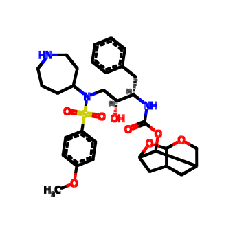 COc1ccc(S(=O)(=O)N(C[C@@H](O)[C@H](Cc2ccccc2)NC(=O)OC2C3COC4OC2CC4C3)C2CCCNCC2)cc1